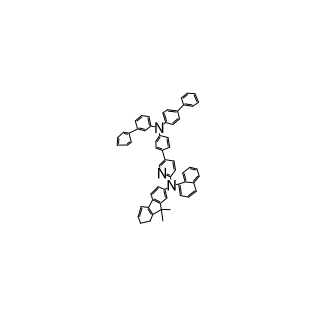 CC1(C)C2=C(C=CCC2)c2ccc(N(c3ccc(-c4ccc(N(c5ccc(-c6ccccc6)cc5)c5cccc(-c6ccccc6)c5)cc4)cn3)c3cccc4ccccc34)cc21